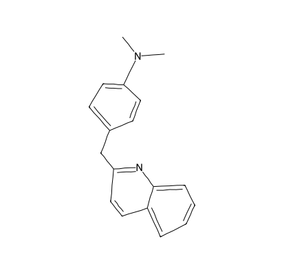 CN(C)c1ccc(Cc2ccc3ccccc3n2)cc1